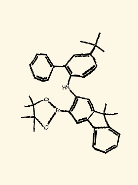 CC(C)(C)c1ccc(Nc2cc3c(cc2B2OC(C)(C)C(C)(C)O2)-c2ccccc2C3(C)C)c(-c2ccccc2)c1